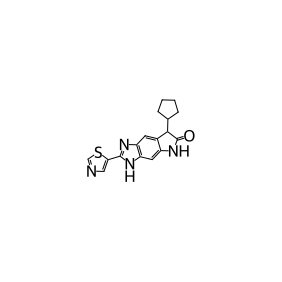 O=C1Nc2cc3[nH]c(-c4cncs4)nc3cc2C1C1CCCC1